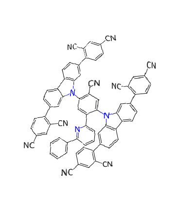 N#Cc1ccc(-c2ccc3c4ccc(-c5ccc(C#N)cc5C#N)cc4n(-c4cc(-c5cccc(-c6ccccc6)n5)c(-n5c6cc(-c7ccc(C#N)cc7C#N)ccc6c6ccc(-c7ccc(C#N)cc7C#N)cc65)cc4C#N)c3c2)c(C#N)c1